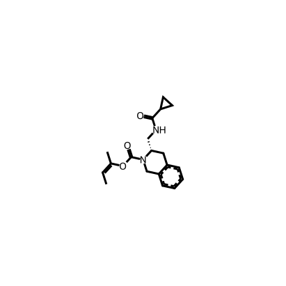 C/C=C(/C)OC(=O)N1Cc2ccccc2C[C@H]1CNC(=O)C1CC1